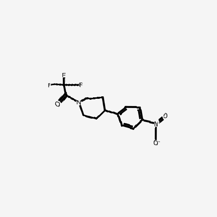 O=C(N1CCC(c2ccc([N+](=O)[O-])cc2)CC1)C(F)(F)F